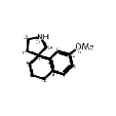 COc1ccc2c(c1)C1(CCC2)CCNC1